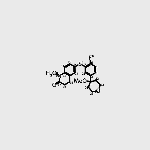 COC1(c2ccc(F)c(Sc3ccc4c(c3)CCC(=O)N4C)c2)CCOCC1